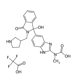 CN(C(=O)O)c1nc2cc(C3(O)c4ccccc4C(=O)N3CC3CCNC3)ccc2[nH]1.O=C(O)C(F)(F)F